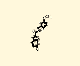 COc1cccc(CNC(=O)c2cc3ccc(Cl)nc3s2)c1